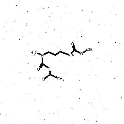 CC(Cl)OC(=O)N(C)CCCNC(=O)OC(C)(C)C